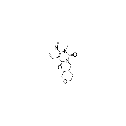 C=Cc1c(N=C)n(C)c(=O)n(CC2CCOCC2)c1=O